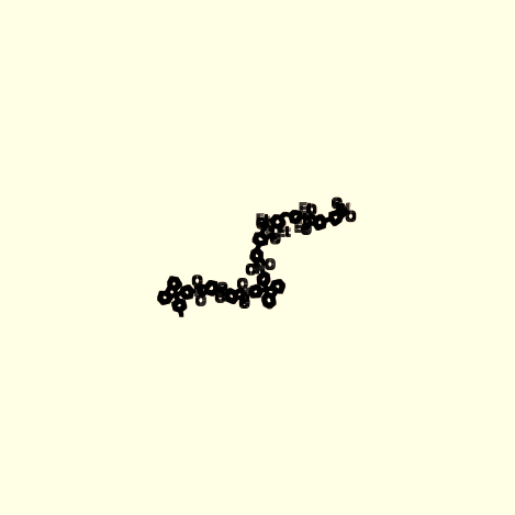 CCc1cc(Cc2cc(CC)c(N3C(=O)c4ccc(-c5ccc6c(c5)C(=O)N(c5ccc(C7(c8ccc(N9C(=O)c%10ccc(S(=O)(=O)c%11ccc%12c(c%11)C(=O)N(c%11ccc(C%13(c%14ccc(C)cc%14)c%14ccccc%14-c%14ccccc%14%13)cc%11)C%12=O)cc%10C9=O)cc8)c8ccccc8-c8ccccc87)cc5)C6=O)cc4C3=O)c(CC)c2)cc(CC)c1N1C(=O)c2ccc(-c3ccc4c(c3)C(=O)N(C)C4=O)cc2C1=O